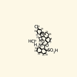 Cl.NC(=O)C(Oc1ccc2c(c1)C(C1(c3ccc(Cl)cc3)CCC1)NCC2)c1c(S(=O)(=O)O)ccc2ccccc12